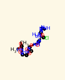 CCOc1cc(OC)ccc1CNCC(=O)N1CCCC(c2cccc(C(=O)N[C@@H](C(=O)N3CCC(OCCNCC(=O)N4CCN(CC[C@H](NC(=O)C5(N)CCN(c6ncnc7[nH]ccc67)CC5)c5ccc(Cl)cc5)CC4)CC3)C3CCCCC3)c2)C1